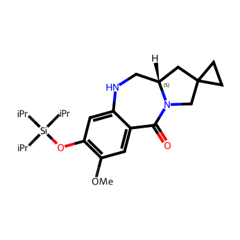 COc1cc2c(cc1O[Si](C(C)C)(C(C)C)C(C)C)NC[C@@H]1CC3(CC3)CN1C2=O